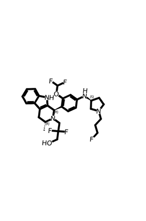 C[C@@H]1Cc2c([nH]c3ccccc23)[C@@H](c2ccc(N[C@H]3CCN(CCCF)C3)cc2OC(F)F)N1CC(F)(F)CO